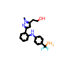 Cn1nc(-c2ccccc2Nc2ccc(C(F)(F)P)cc2)cc1CCO